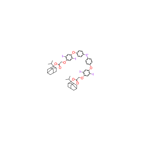 CC(C)C1(OC(=O)COc2cc(I)c(Oc3ccc([I+]c4ccc(Oc5cc(I)c(OCC(=O)OC6(C(C)C)C7CC8CC(C7)CC6C8)cc5I)cc4)cc3)cc2I)C2CC3CC(C2)CC1C3